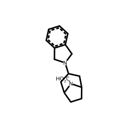 O=C(O)N1C2CCC1CC(N1Cc3ccccc3C1)C2